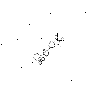 CC1C(=O)Nc2ccc(-c3ccc([C]4CCCCS4(=O)=O)s3)cc21